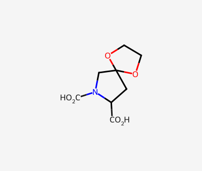 O=C(O)C1CC2(CN1C(=O)O)OCCO2